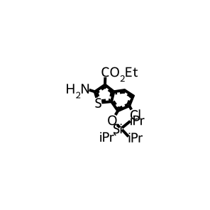 CCOC(=O)c1c(N)sc2c(O[Si](C(C)C)(C(C)C)C(C)C)c(Cl)ccc12